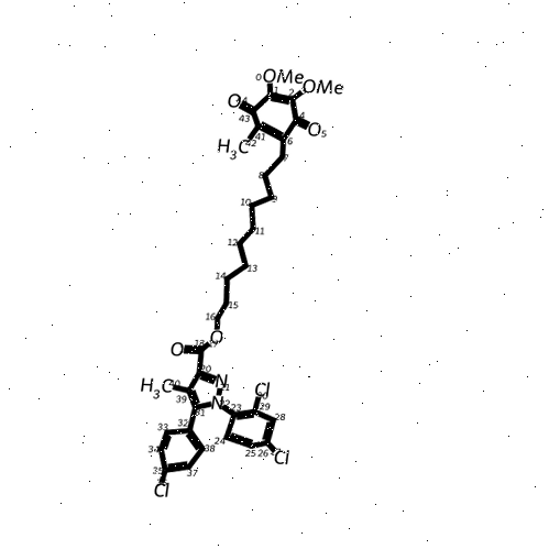 COC1=C(OC)C(=O)C(CCCCCCCCCCOC(=O)c2nn(-c3ccc(Cl)cc3Cl)c(-c3ccc(Cl)cc3)c2C)=C(C)C1=O